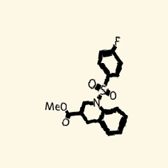 COC(=O)C1Cc2ccccc2N(S(=O)(=O)c2ccc(F)cc2)C1